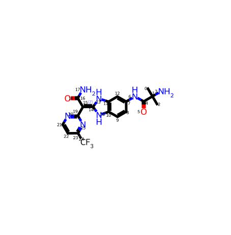 CC(C)(N)C(=O)Nc1ccc2c(c1)N/C(=C(\C(N)=O)c1nccc(C(F)(F)F)n1)N2